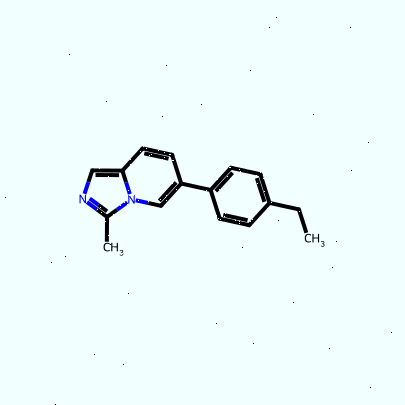 CCc1ccc(-c2ccc3cnc(C)n3c2)cc1